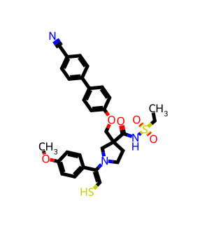 CCS(=O)(=O)NC(=O)C1(COc2ccc(-c3ccc(C#N)cc3)cc2)CCN(/C(=C/S)c2ccc(OC)cc2)C1